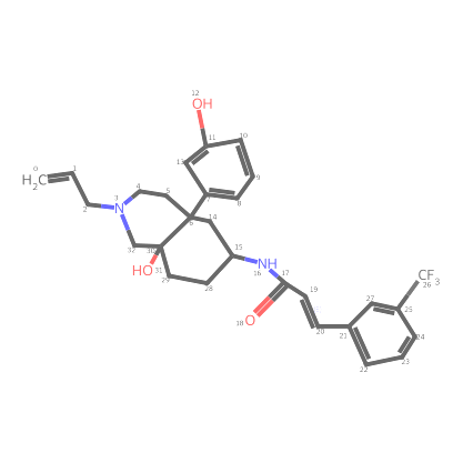 C=CCN1CCC2(c3cccc(O)c3)CC(NC(=O)/C=C/c3cccc(C(F)(F)F)c3)CCC2(O)C1